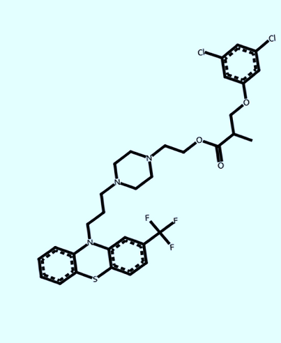 CC(COc1cc(Cl)cc(Cl)c1)C(=O)OCCN1CCN(CCCN2c3ccccc3Sc3ccc(C(F)(F)F)cc32)CC1